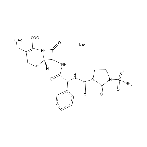 CC(=O)OCC1=C(C(=O)[O-])N2C(=O)C(NC(=O)C(NC(=O)N3CCN(S(N)(=O)=O)C3=O)c3ccccc3)[C@@H]2SC1.[Na+]